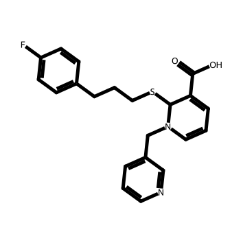 O=C(O)C1=CC=CN(Cc2cccnc2)C1SCCCc1ccc(F)cc1